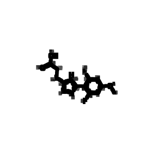 COc1cc(F)c(-c2nnc(SCC(=O)O)[nH]2)c(F)c1